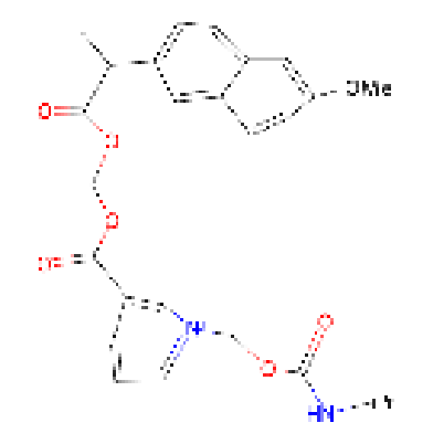 COc1ccc2cc(C(C)C(=O)OCOC(=O)c3ccc[n+](COC(=O)NC(C)C)c3)ccc2c1